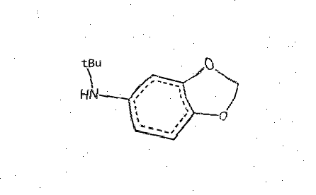 CC(C)(C)Nc1ccc2c(c1)OCO2